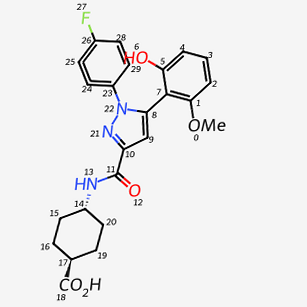 COc1cccc(O)c1-c1cc(C(=O)N[C@H]2CC[C@H](C(=O)O)CC2)nn1C1=C=C=C(F)C=C1